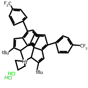 CC(C)(C)C1=Cc2c(-c3ccc(C(F)(F)F)cc3)cccc2[CH]1[Hf]1([CH]2C(C(C)(C)C)=Cc3c(-c4ccc(C(F)(F)F)cc4)cccc32)[CH2]C[CH2]1.Cl.Cl